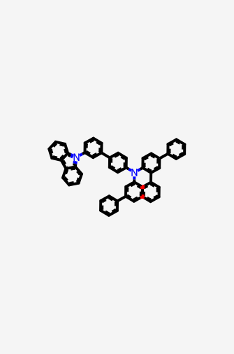 c1ccc(-c2cccc(N(c3ccc(-c4cccc(-n5c6ccccc6c6ccccc65)c4)cc3)c3ccc(-c4ccccc4)cc3-c3ccccc3)c2)cc1